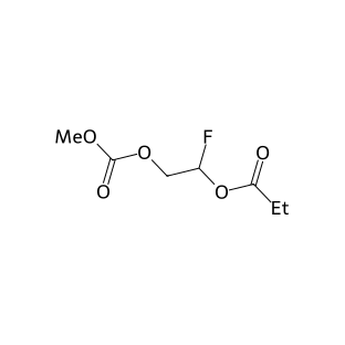 CCC(=O)OC(F)COC(=O)OC